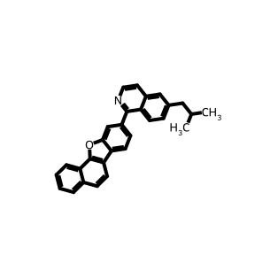 CC(C)Cc1ccc2c(-c3ccc4c(c3)oc3c5ccccc5ccc43)nccc2c1